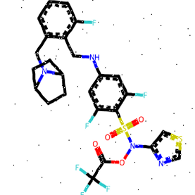 O=C(ON(c1cscn1)S(=O)(=O)c1c(F)cc(NCc2c(F)cccc2CN2C3CCC2CC3)cc1F)C(F)(F)F